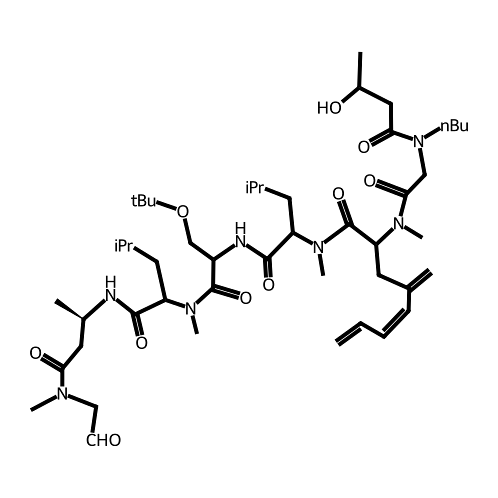 C=C/C=C\C(=C)CC(C(=O)N(C)C(CC(C)C)C(=O)NC(COC(C)(C)C)C(=O)N(C)C(CC(C)C)C(=O)N[C@H](C)CC(=O)N(C)CC=O)N(C)C(=O)CN(CCCC)C(=O)CC(C)O